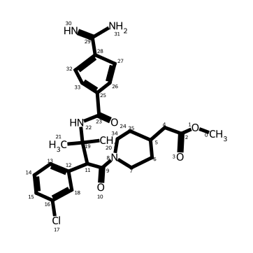 COC(=O)CC1CCN(C(=O)C(c2cccc(Cl)c2)C(C)(C)NC(=O)c2ccc(C(=N)N)cc2)CC1